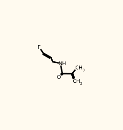 C=C(C)C(=O)NCC=CF